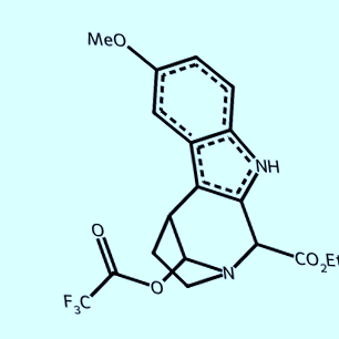 CCOC(=O)C1c2[nH]c3ccc(OC)cc3c2C2CCN1C2OC(=O)C(F)(F)F